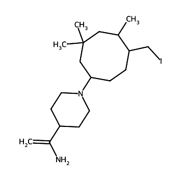 C=C(N)C1CCN(C2CCC(CI)C(C)CC(C)(C)C2)CC1